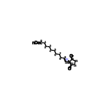 CCCCCCCCCCCCCCCCCC/C=C/N1C(=O)CCC1=O